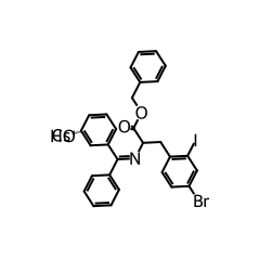 O=C(OCc1ccccc1)C(Cc1ccc(Br)cc1I)N=C(c1ccccc1)c1ccccc1.[Cs+].[OH-]